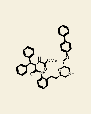 COC(=O)N[C@H](C(=O)Nc1ccccc1CC[C@@H]1CNC[C@@H](COc2ccc(-c3ccccc3)cc2)O1)C(c1ccccc1)c1ccccc1